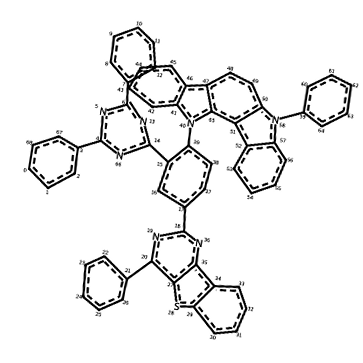 c1ccc(-c2nc(-c3ccccc3)nc(-c3cc(-c4nc(-c5ccccc5)c5sc6ccccc6c5n4)ccc3-n3c4ccccc4c4ccc5c(c6ccccc6n5-c5ccccc5)c43)n2)cc1